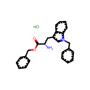 Cl.N[C@@H](Cc1cn(Cc2ccccc2)c2ccccc12)C(=O)OCc1ccccc1